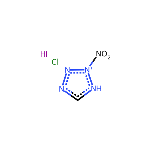 I.O=[N+]([O-])[n+]1nnc[nH]1.[Cl-]